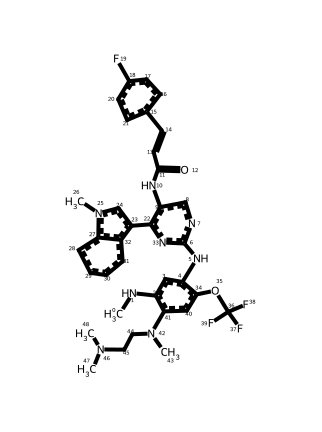 CNc1cc(Nc2ncc(NC(=O)/C=C/c3ccc(F)cc3)c(-c3cn(C)c4ccccc34)n2)c(OC(F)(F)F)cc1N(C)CCN(C)C